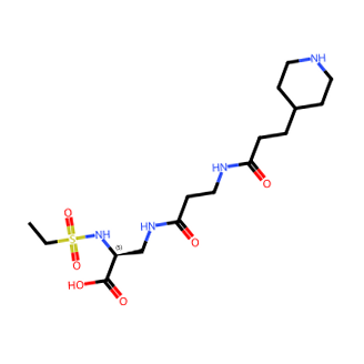 CCS(=O)(=O)N[C@@H](CNC(=O)CCNC(=O)CCC1CCNCC1)C(=O)O